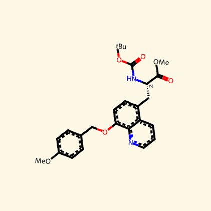 COC(=O)[C@H](Cc1ccc(OCc2ccc(OC)cc2)c2ncccc12)NC(=O)OC(C)(C)C